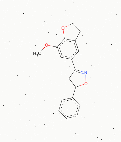 COc1cc(C2=NOC(c3ccccc3)C2)cc2c1OCC2